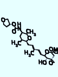 CO[C@]1(C)C[C@@]2(CO2)[C@H](O)C(/C=C/C(C)=C/C[C@@H]2O[C@H](C)[C@H](NC(=O)O[C@@H]3CCOC3)C[C@@H]2C)O1